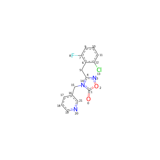 O=c1onc(Cc2c(F)cccc2Cl)n1Cc1cccnc1